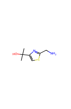 CC(C)(O)c1csc(CN)n1